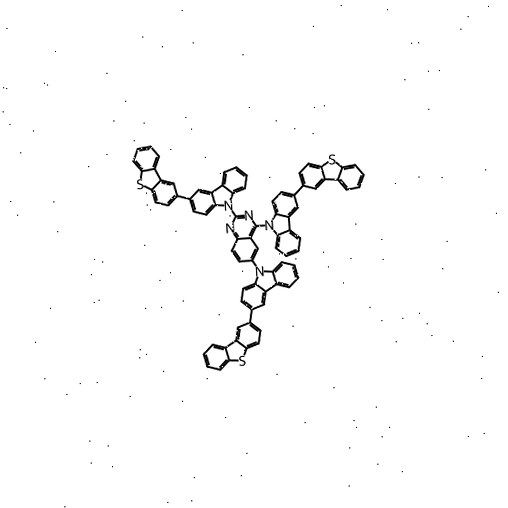 c1ccc2c(c1)sc1ccc(-c3ccc4c(c3)c3ccccc3n4-c3ccc4nc(-n5c6ccccc6c6cc(-c7ccc8sc9ccccc9c8c7)ccc65)nc(-n5c6ccccc6c6cc(-c7ccc8sc9ccccc9c8c7)ccc65)c4c3)cc12